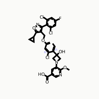 C=C(/C=C(Cl)\C(=C/C)C1(O)CN(c2cc(C(=O)O)cnc2OC)C1)OCc1c(-c2c(Cl)cc(F)cc2Cl)noc1C1CC1